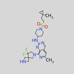 Cc1cc2cnc(NC3CCN(S(=O)(=O)CCC4(C)CC4)CC3)nc2c(N2CC(F)(F)C3(CNC3)C2)n1